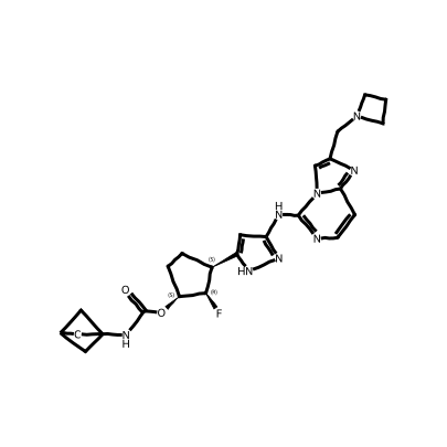 O=C(NC12CC(C1)C2)O[C@H]1CC[C@@H](c2cc(Nc3nccc4nc(CN5CCC5)cn34)n[nH]2)[C@H]1F